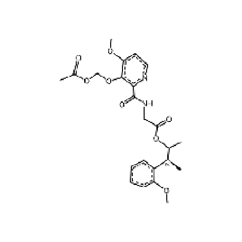 COc1ccccc1[C@H](C)C(C)OC(=O)CNC(=O)c1nccc(OC)c1OCOC(C)=O